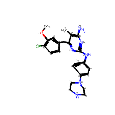 COc1cc(-c2nc(Nc3ccc(N4CCNCC4)cc3)nc(N)c2C)ccc1Cl